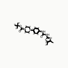 Cc1nc(NC(=O)Nc2ccc(N3CCN(C(=O)OC(C)(C)C)CC3)cc2)sc1C